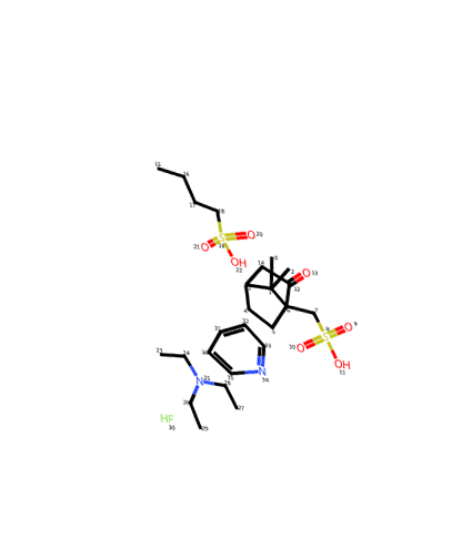 CC1(C)C2CCC1(CS(=O)(=O)O)C(=O)C2.CCCCS(=O)(=O)O.CCN(CC)CC.F.c1ccncc1